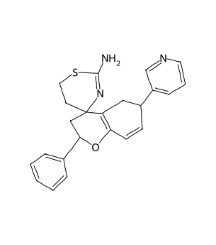 NC1=NC2(CCS1)CC(c1ccccc1)OC1=C2CC(c2cccnc2)C=C1